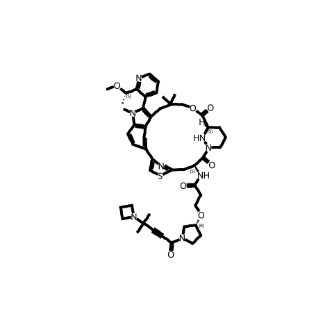 CO[C@@H](C)c1ncccc1-c1c2c3cc(ccc3n1C)-c1csc(n1)C[C@H](NC(=O)CCO[C@@H]1CCN(C(=O)C#CC(C)(C)N3CCC3)C1)C(=O)N1CCC[C@H](N1)C(=O)OCC(C)(C)C2